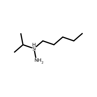 CCCCC[SiH](N)C(C)C